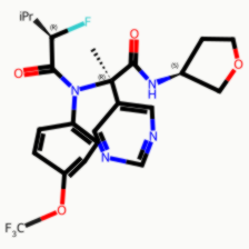 CC(C)[C@@H](F)C(=O)N(c1ccc(OC(F)(F)F)cc1)[C@@](C)(C(=O)N[C@H]1CCOC1)c1cncnc1